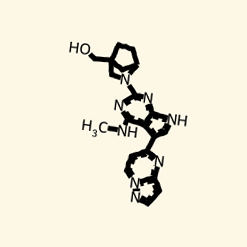 CNc1nc(N2CC3(CO)CCC2C3)nc2[nH]cc(-c3ccn4nccc4n3)c12